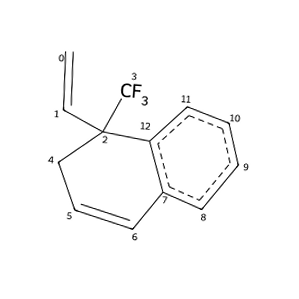 C=CC1(C(F)(F)F)CC=Cc2ccccc21